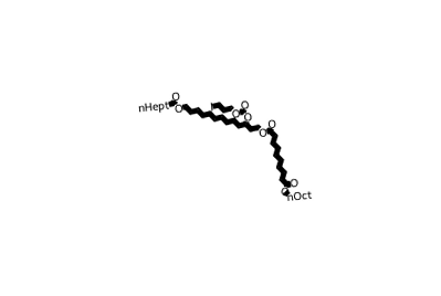 CCCCCCCCOC(=O)CCCCCCCCC(=O)OCCC(CCCCCCCCCCOC(=O)CCCCCCC)OC(=O)OCCCI